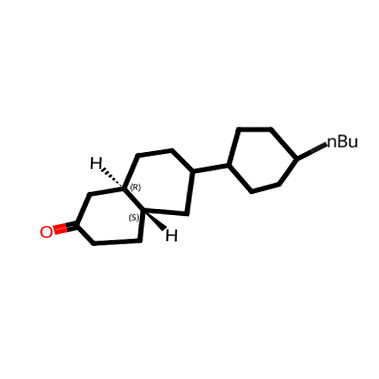 CCCCC1CCC(C2CC[C@@H]3CC(=O)CC[C@H]3C2)CC1